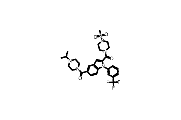 CC(C)N1CCN(C(=O)c2ccc3c(c2)cc(C(=O)N2CCN(S(C)(=O)=O)CC2)n3-c2cccc(C(F)(F)F)c2)CC1